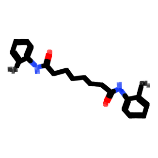 Cc1ccccc1NC(=O)CCCCCCC(=O)Nc1ccccc1C